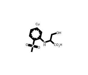 CS(=O)(=O)c1ccccc1NC(CO)C(=O)O.[Cu]